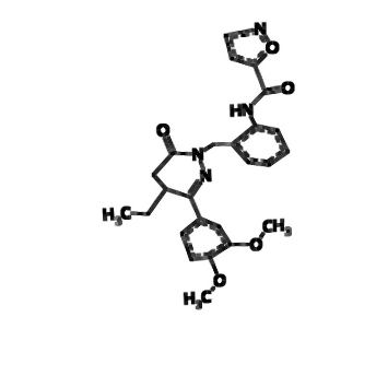 CCC1CC(=O)N(Cc2ccccc2NC(=O)c2ccno2)N=C1c1ccc(OC)c(OC)c1